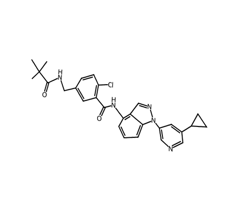 CC(C)(C)C(=O)NCc1ccc(Cl)c(C(=O)Nc2cccc3c2cnn3-c2cncc(C3CC3)c2)c1